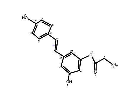 NCC(=O)Oc1cc(O)cc(/C=C/c2ccc(O)cc2)c1